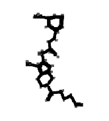 COCCOC(=O)N1CCc2c(sc(NC(=O)CCc3cccc(OC)c3)c2C#N)C1